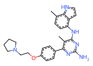 Cc1c(Nc2ccc(C)c3[nH]ccc23)nc(N)nc1-c1ccc(OCCN2CCCC2)cc1